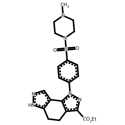 CCOC(=O)c1nn(-c2ccc(S(=O)(=O)N3CCN(C)CC3)cc2)c2c1CCc1[nH]ncc1-2